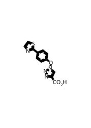 O=C(O)c1cn(Oc2ccc(-c3nccs3)cc2)nn1